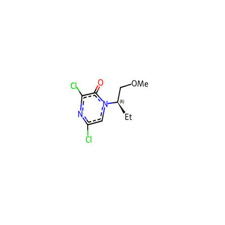 CC[C@H](COC)n1cc(Cl)nc(Cl)c1=O